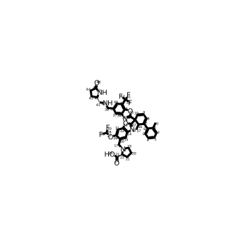 Cc1ccccc1C1=CC=CC(c2nc3cc(CN4CCC[C@H]4C(=O)O)c(OC(F)F)cc3o2)(c2nc3cc(CNC[C@@H]4CCC(=O)N4)cc(C(F)(F)F)c3o2)C1C